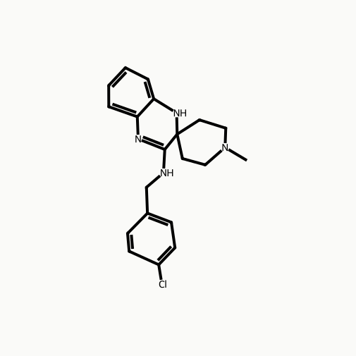 CN1CCC2(CC1)Nc1ccccc1N=C2NCc1ccc(Cl)cc1